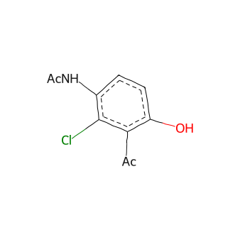 CC(=O)Nc1ccc(O)c(C(C)=O)c1Cl